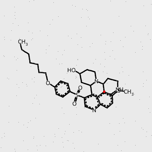 CCCCCCCOc1ccc(S(=O)(=O)c2cnc3ccc(SC)cc3c2C2CC(O)CCN2C2CCNCC2)cc1